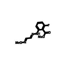 CON=CC=NNc1cccc(F)c1C(=O)OC